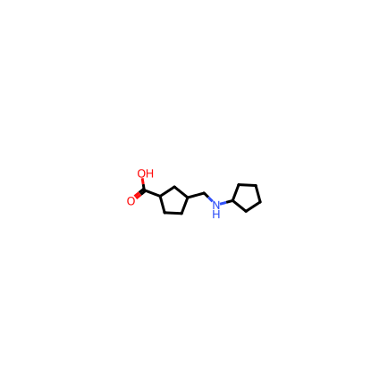 O=C(O)C1CCC(CNC2CCCC2)C1